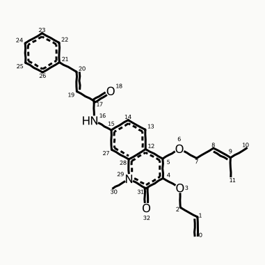 C=CCOc1c(OCC=C(C)C)c2ccc(NC(=O)C=Cc3ccccc3)cc2n(C)c1=O